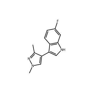 Cc1nn(C)cc1-c1c[nH]c2cc(F)ccc12